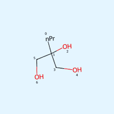 CCCC(O)(CO)CO